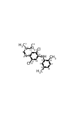 CCN(C)/C=N\c1cc(Cl)c(Nc2cc(C)ccc2C)cc1Cl